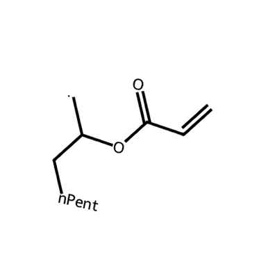 [CH2]C(CCCCCC)OC(=O)C=C